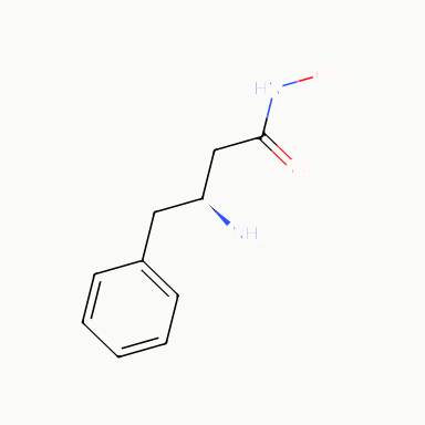 N[C@H](CC(=O)NO)Cc1ccccc1